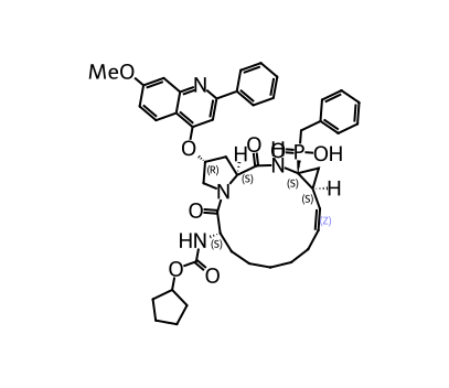 COc1ccc2c(O[C@@H]3C[C@H]4C(=O)N[C@]5(P(=O)(O)Cc6ccccc6)C[C@H]5/C=C\CCCCC[C@H](NC(=O)OC5CCCC5)C(=O)N4C3)cc(-c3ccccc3)nc2c1